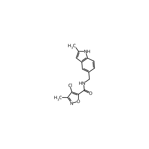 Cc1cc2cc(CNC(=O)c3onc(C)c3Cl)ccc2[nH]1